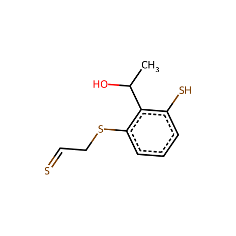 CC(O)c1c(S)cccc1SCC=S